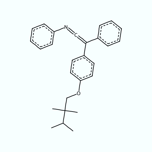 CC(C)C(C)(C)COc1ccc(C(=C=Nc2ccccc2)c2ccccc2)cc1